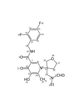 CCN(C=O)CC1(n2cc(C(=O)NCc3ccc(F)cc3F)c(=O)c(O)c2C)CCOC1